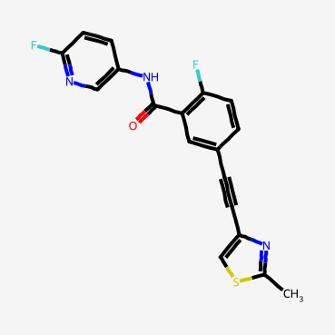 Cc1nc(C#Cc2ccc(F)c(C(=O)Nc3ccc(F)nc3)c2)cs1